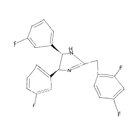 Fc1cccc([C@H]2NC(Cc3ccc(F)cc3F)=N[C@H]2c2cccc(F)c2)c1